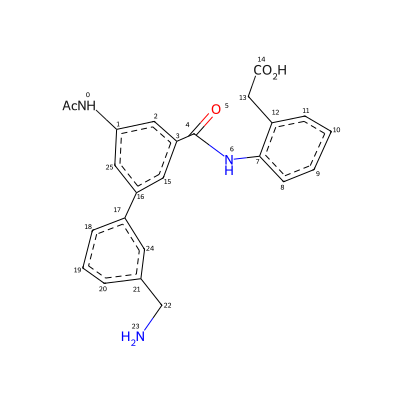 CC(=O)Nc1cc(C(=O)Nc2ccccc2CC(=O)O)cc(-c2cccc(CN)c2)c1